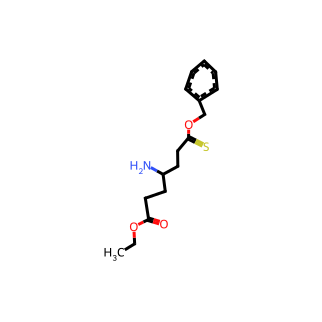 CCOC(=O)CCC(N)CCC(=S)OCc1ccccc1